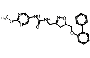 COc1ncc(NC(=O)NCC2=NOC(COc3ccccc3-c3ccccc3)C2)cn1